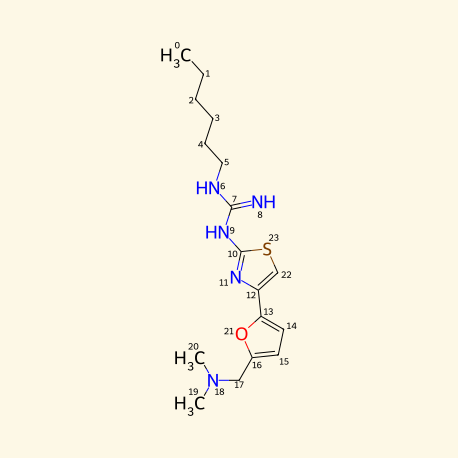 CCCCCCNC(=N)Nc1nc(-c2ccc(CN(C)C)o2)cs1